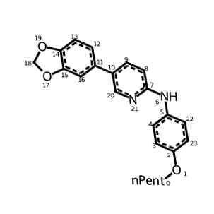 CCCCCOc1ccc(Nc2ccc(-c3ccc4c(c3)OCO4)cn2)cc1